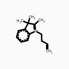 C=CCC[N+]1=C(C)C(C)(C)c2ccccc21